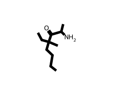 CCCCC(C)(CC)C(=O)C(C)N